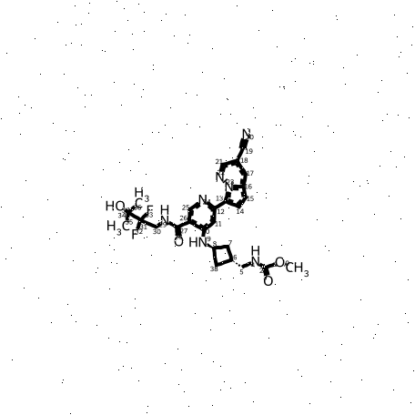 COC(=O)NC[C@H]1C[C@H](Nc2cc(-c3ccc4cc(C#N)cnn34)ncc2C(=O)NCC(F)(F)C(C)(C)O)C1